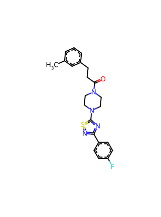 Cc1cccc(CCC(=O)N2CCN(c3nc(-c4ccc(F)cc4)ns3)CC2)c1